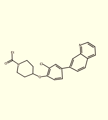 CCC(=O)N1CCC(Oc2ccc(-c3ccc4cccnc4c3)cc2Cl)CC1